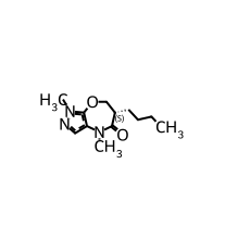 CCCC[C@H]1COc2c(cnn2C)N(C)C1=O